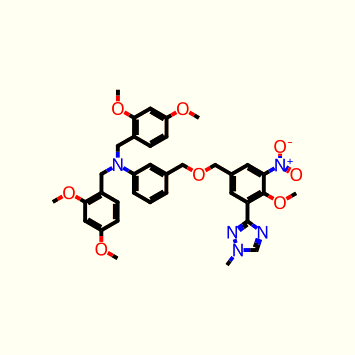 COc1ccc(CN(Cc2ccc(OC)cc2OC)c2cccc(COCc3cc(-c4ncn(C)n4)c(OC)c([N+](=O)[O-])c3)c2)c(OC)c1